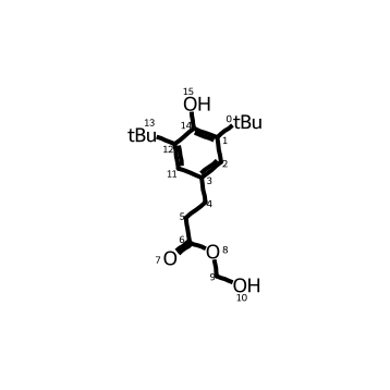 CC(C)(C)c1cc(CCC(=O)OCO)cc(C(C)(C)C)c1O